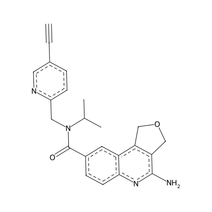 C#Cc1ccc(CN(C(=O)c2ccc3nc(N)c4c(c3c2)COC4)C(C)C)nc1